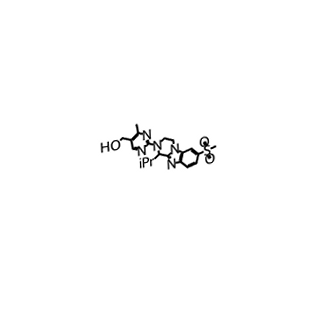 Cc1nc(N2CCn3c(nc4ccc(S(C)(=O)=O)cc43)C2C(C)C)ncc1CO